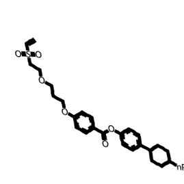 C=CS(=O)(=O)CCOCCCOc1ccc(C(=O)Oc2ccc(C3CCC(CCC)CC3)cc2)cc1